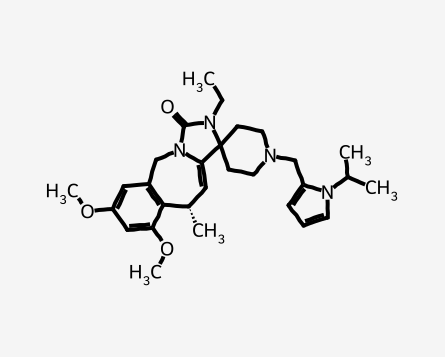 CCN1C(=O)N2Cc3cc(OC)cc(OC)c3[C@@H](C)C=C2C12CCN(Cc1cccn1C(C)C)CC2